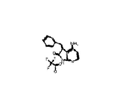 Nc1ccnc2c1C(=Cc1ccccc1)C(=O)N2.O=C(O)C(F)(F)F